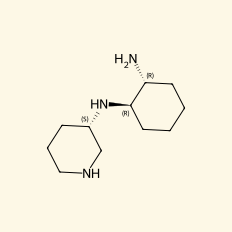 N[C@@H]1CCCC[C@H]1N[C@H]1CCCNC1